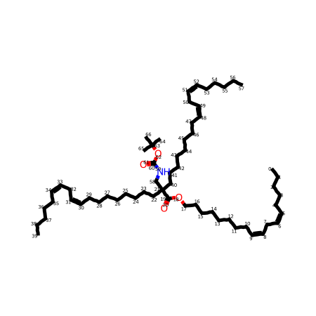 CCCCC/C=C\C/C=C\CCCCCCCCOC(=O)C(CCCCCCCC/C=C\C/C=C\CCCCC)(CCCCCCCC/C=C\C/C=C\CCCCC)CNC(=O)OC(C)(C)C